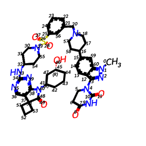 Cn1nc(N2CCC(=O)NC2=O)c2ccc(C3CCN(Cc4cccc(S(=O)(=O)N5CCC(Nc6ncc7c(n6)N([C@@H]6CCC[C@@H](O)C6)C(=O)C76CCC6)CC5)c4)CC3)cc21